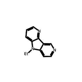 CCn1c2ccncc2c2ncccc21